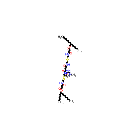 CCCCCCCCC(CCCCCC)COC(=O)CCC(=O)NCCSSCCNC(=O)CCC(NC(=O)CN(C)C)C(=O)NCCSSCCNC(=O)CCC(=O)OCC(CCCCCC)CCCCCCCC